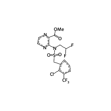 COC(=O)c1nccnc1N(CC(F)F)S(=O)(=O)Cc1cccc(C(F)(F)F)c1Cl